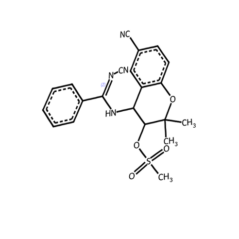 CC1(C)Oc2ccc(C#N)cc2C(N/C(=N\C#N)c2ccccc2)C1OS(C)(=O)=O